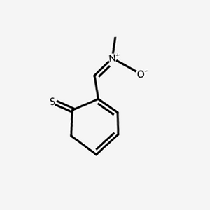 C[N+]([O-])=CC1=CC=CCC1=S